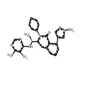 C[C@H](Nc1ncnc(N)c1C(F)(F)F)c1cc2cccc(-c3cnn(C)c3)c2c(=O)n1-c1ccccc1